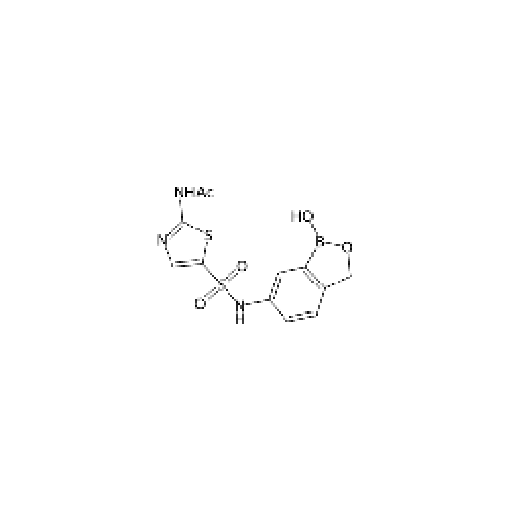 CC(=O)Nc1ncc(S(=O)(=O)Nc2ccc3c(c2)B(O)OC3)s1